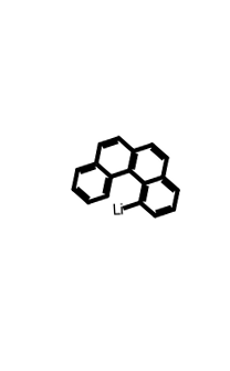 [Li][c]1cccc2ccc3ccc4ccccc4c3c12